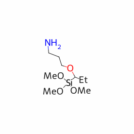 CCC(OCCCN)[Si](OC)(OC)OC